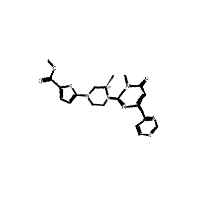 COC(=O)c1ccc(N2CCN(c3nc(-c4ccncn4)cc(=O)n3C)[C@H](C)C2)s1